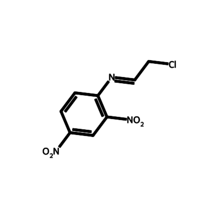 O=[N+]([O-])c1ccc(N=CCCl)c([N+](=O)[O-])c1